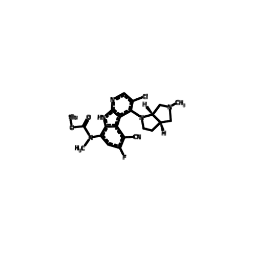 CN1C[C@@H]2CCN(c3c(Cl)cnc4[nH]c5c(N(C)C(=O)OC(C)(C)C)cc(F)c(C#N)c5c34)[C@@H]2C1